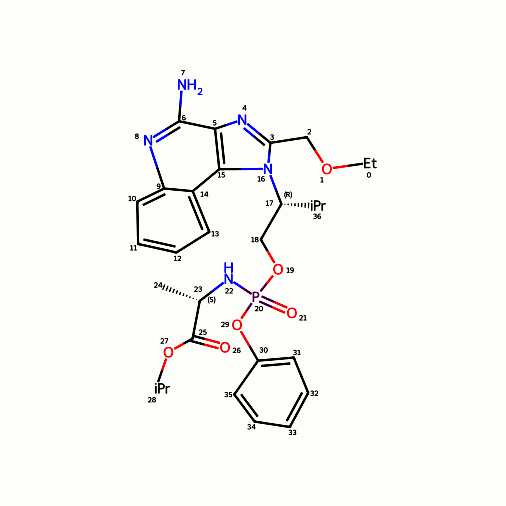 CCOCc1nc2c(N)nc3ccccc3c2n1[C@@H](COP(=O)(N[C@@H](C)C(=O)OC(C)C)Oc1ccccc1)C(C)C